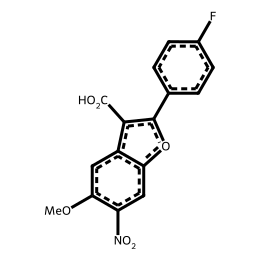 COc1cc2c(C(=O)O)c(-c3ccc(F)cc3)oc2cc1[N+](=O)[O-]